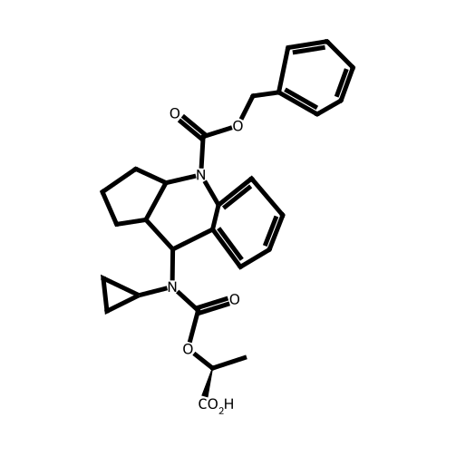 C[C@H](OC(=O)N(C1CC1)C1c2ccccc2N(C(=O)OCc2ccccc2)C2CCCC21)C(=O)O